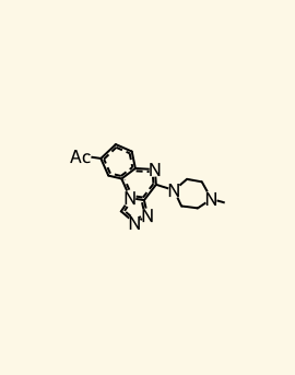 CC(=O)c1ccc2nc(N3CCN(C)CC3)c3nncn3c2c1